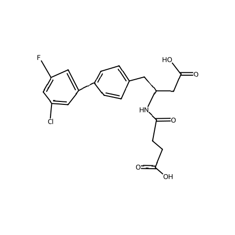 O=C(O)CCC(=O)NC(CC(=O)O)Cc1ccc(-c2cc(F)cc(Cl)c2)cc1